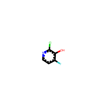 Oc1c(F)ccnc1Cl